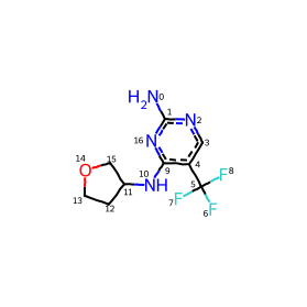 Nc1ncc(C(F)(F)F)c(NC2CCOC2)n1